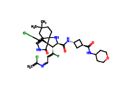 C=C(Cl)/N=C\C=C(/F)[C@H]1[C@H](C(=O)N[C@H]2C[C@H](C(=O)NC3CCOCC3)C2)NC2(CCC(C)(C)CC2)[C@@]12C(=O)Nc1cc(Cl)ccc12